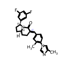 Cc1cn(-c2ccc(/C=C3\CC[C@H]4CC[C@@H](c5cc(F)cc(F)c5)N4C3=O)cc2C)cn1